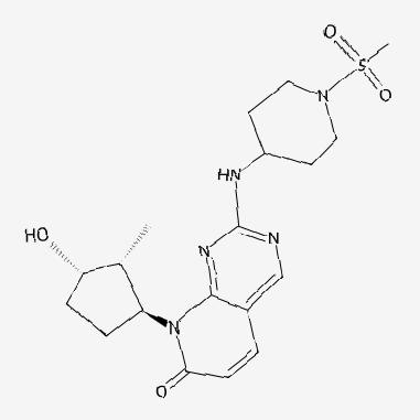 C[C@H]1[C@@H](O)CC[C@@H]1n1c(=O)ccc2cnc(NC3CCN(S(C)(=O)=O)CC3)nc21